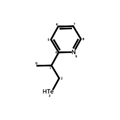 CC(C[TeH])c1ccccn1